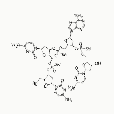 Nc1ccn([C@H]2C[C@@H](O)[C@@H](COP(=O)(S)O[C@@H]3C[C@H](n4cnc5c(N)ncnc54)O[C@@H]3COP(=O)(S)O[C@@H]3C[C@H](n4ccc(N)nc4=O)O[C@@H]3COP(=O)(S)O[C@@H]3C[C@H](n4ccc(N)nc4=O)O[C@@H]3CO)O2)c(=O)n1